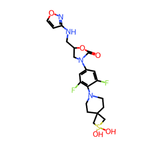 O=C1OC(CNc2ccon2)CN1c1cc(F)c(N2CCC3(CC2)CS(O)(O)C3)c(F)c1